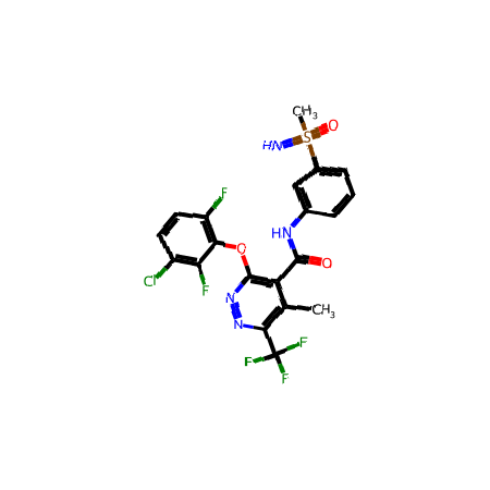 Cc1c(C(F)(F)F)nnc(Oc2c(F)ccc(Cl)c2F)c1C(=O)Nc1cccc(S(C)(=N)=O)c1